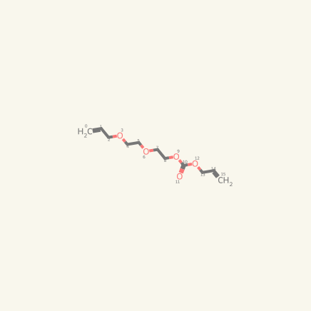 C=CCOCCOCCOC(=O)OCC=C